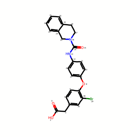 O=C(O)Cc1ccc(Oc2ccc(NC(=O)N3CCc4ccccc4C3)cc2)c(Br)c1